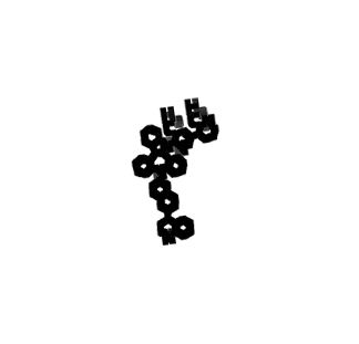 CC1C=C(C2C=CC=NC2C)C=NC1N1C2=C(c3ccccc3N(c3ccc4cc(C5CC=Nc6ccccc65)ccc4c3)c3ccccc32)C2C=CC=CC21